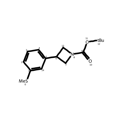 CSc1cccc(C2CN(C(=O)OC(C)(C)C)C2)c1